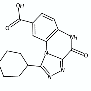 O=C(O)c1ccc2[nH]c(=O)c3nnc(C4CCCCC4)n3c2c1